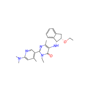 CCO[C@H]1Cc2ccccc2[C@H]1Nc1c(C)nc(-c2cnc(N(C)C)cc2C)n(CC)c1=O